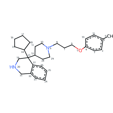 Cc1ccc(OCCCN2CCC(C3(C4CCCC4)CNCc4ccccc43)CC2)cc1